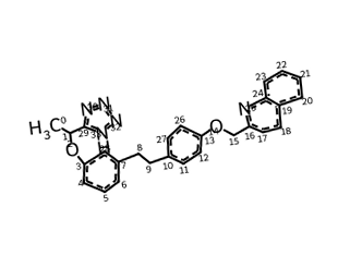 CC(Oc1cccc(CCc2ccc(OCc3ccc4ccccc4n3)cc2)c1)c1nnn[nH]1